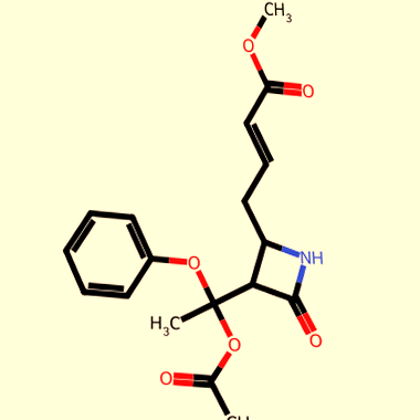 COC(=O)C=CCC1NC(=O)C1C(C)(OC(C)=O)Oc1ccccc1